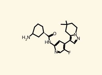 CC1(C)CCn2ncc(-c3cc(NC(=O)[C@@H]4CCCC(N)C4)ncc3F)c2C1